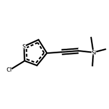 C[Si](C)(C)C#Cc1csc(Cl)c1